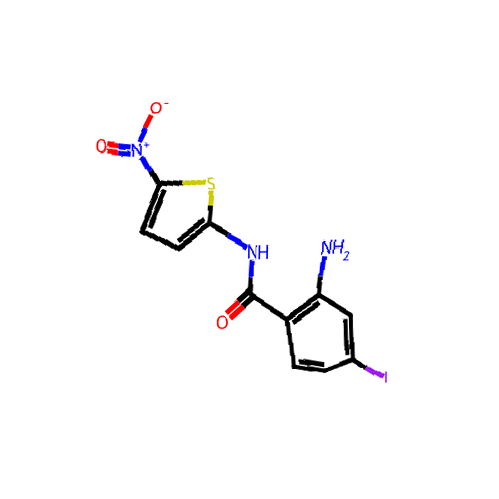 Nc1cc(I)ccc1C(=O)Nc1ccc([N+](=O)[O-])s1